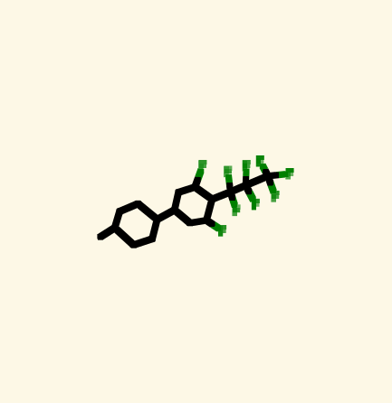 CC1CCC(C2CC(F)C(C(F)(F)C(F)(F)C(F)(F)F)C(F)C2)CC1